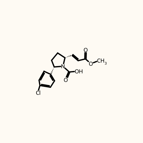 COC(=O)C=C[C@H]1CC[C@@H](c2ccc(Cl)cc2)N1C(=O)O